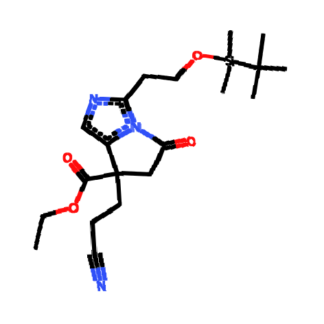 CCOC(=O)C1(CCC#N)CC(=O)n2c1cnc2CCO[Si](C)(C)C(C)(C)C